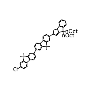 CCCCCCCCC1(CCCCCCCC)C2=CC(c3ccc4c(c3)C(C)(C)c3cc(-c5ccc6c(c5)C(C)(C)c5cc(Cl)ccc5-6)ccc3-4)=CC2c2ccccc21